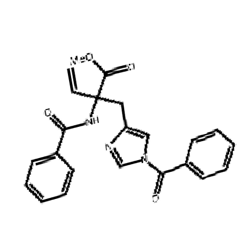 C=CC(Cc1cn(C(=O)c2ccccc2)cn1)(NC(=O)c1ccccc1)C(=O)OC